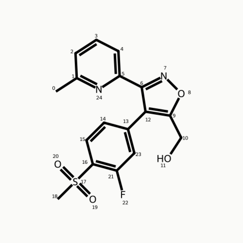 Cc1cccc(-c2noc(CO)c2-c2ccc(S(C)(=O)=O)c(F)c2)n1